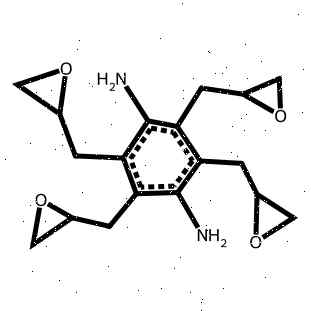 Nc1c(CC2CO2)c(CC2CO2)c(N)c(CC2CO2)c1CC1CO1